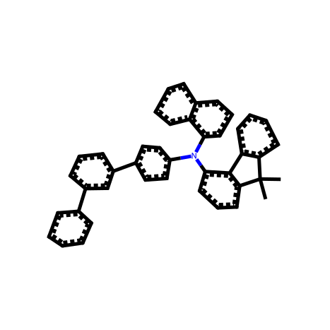 CC1(C)c2ccccc2-c2c(N(c3ccc(-c4cccc(-c5ccccc5)c4)cc3)c3cccc4ccccc34)cccc21